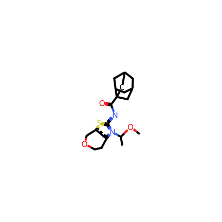 COC(C)n1c2c(sc1=NC(=O)C13CC4CC(CC1C4)C3)COCC2